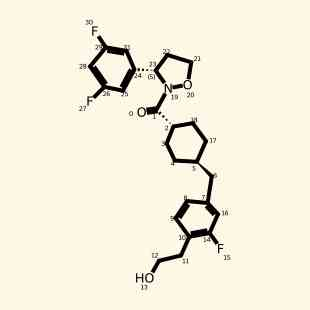 O=C([C@H]1CC[C@H](Cc2ccc(CCO)c(F)c2)CC1)N1OCC[C@H]1c1cc(F)cc(F)c1